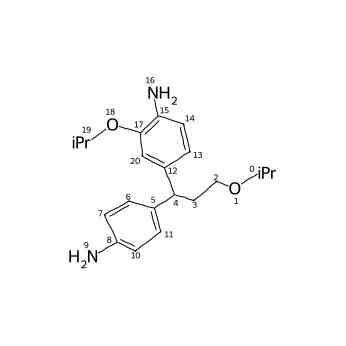 CC(C)OCCC(c1ccc(N)cc1)c1ccc(N)c(OC(C)C)c1